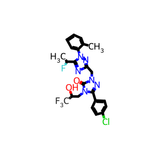 Cc1ccccc1-n1nc(Cn2nc(-c3ccc(Cl)cc3)n(CC(O)C(F)(F)F)c2=O)nc1C(C)F